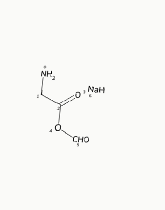 NCC(=O)OC=O.[NaH]